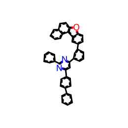 c1ccc(-c2ccc(-c3cc(-c4cccc(-c5ccc6oc7ccc8ccccc8c7c6c5)c4)nc(-c4ccccc4)n3)cc2)cc1